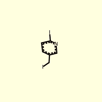 ICc1ccc(I)nc1